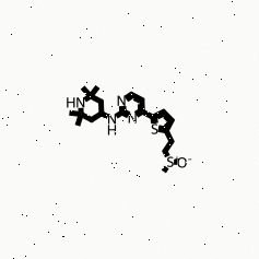 C[S+]([O-])CCc1ccc(-c2ccnc(NC3CC(C)(C)NC(C)(C)C3)n2)s1